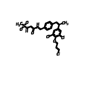 C[C@H](Cc1ccc(CNC(=O)CNS(C)(=O)=O)cc1)c1cc(Cl)c(OCCCCl)c(Cl)c1